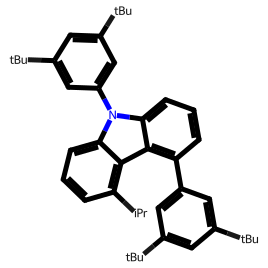 CC(C)c1cccc2c1c1c(-c3cc(C(C)(C)C)cc(C(C)(C)C)c3)cccc1n2-c1cc(C(C)(C)C)cc(C(C)(C)C)c1